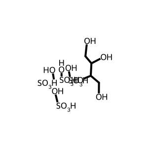 O=S(=O)(O)O.O=S(=O)(O)O.O=S(=O)(O)O.O=S(=O)(O)O.OCC(O)C(O)CO